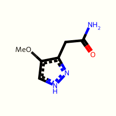 COc1c[nH]nc1CC(N)=O